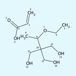 C=CC(=O)O.CCOC(C)C(CO)(CO)CO